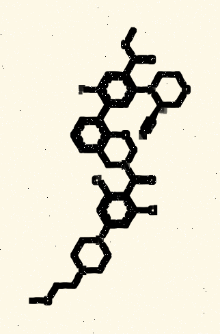 COCCN1CCN(c2cc(Cl)c(C(=O)N3COc4c(cccc4-c4cc(N5CCOC[C@H]5C#N)c(C(=O)OC)cc4F)C3)c(Cl)c2)CC1